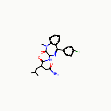 CC(C)CC(CC(N)=O)C(=O)NC1N=C(c2ccc(Cl)cc2)c2ccccc2N(C)C1=O